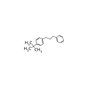 CC(C)(C)c1ccc(CCCc2ccccc2)cc1